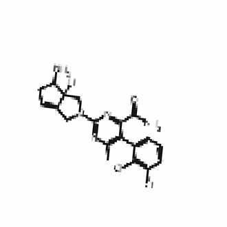 Cc1nc(N2CC3=CCC(N)[C@@H]3C2)nc(C(N)=O)c1-c1cccc(Cl)c1Cl